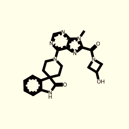 Cn1c(C(=O)N2CC(O)C2)nc2c(N3CCC4(CC3)C(=O)Nc3ccccc34)ncnc21